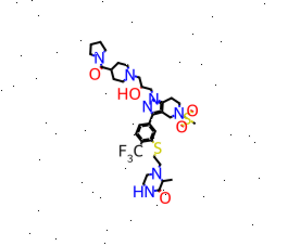 CC1C(=O)NCCN1CCSc1cc(-c2nn(CC(O)CN3CCC(C(=O)N4CCCC4)CC3)c3c2CN(S(C)(=O)=O)CC3)ccc1C(F)(F)F